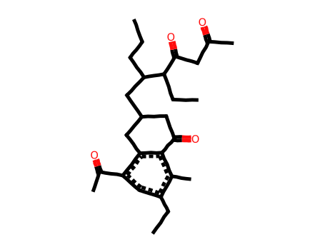 CCCC(CC1CC(=O)c2c(C)c(CC)cc(C(C)=O)c2C1)C(CC)C(=O)CC(C)=O